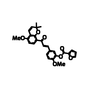 COc1ccc(C=CC(=O)c2ccc(OC)c3c2OC(C)(C)C=C3)cc1OC(=O)c1ccco1